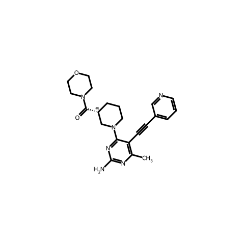 Cc1nc(N)nc(N2CCC[C@@H](C(=O)N3CCOCC3)C2)c1C#Cc1cccnc1